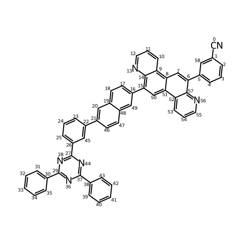 N#Cc1cccc(-c2cc3c4cccnc4c(-c4ccc5cc(-c6cccc(-c7nc(-c8ccccc8)nc(-c8ccccc8)n7)c6)ccc5c4)cc3c3cccnc23)c1